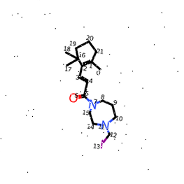 CC1=C(/C=C/C(=O)N2CCCN(CI)CC2)C(C)(C)CCC1